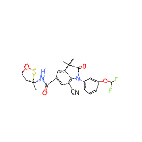 CC1(NC(=O)c2cc(C#N)c3c(c2)C(C)(C)C(=O)N3c2cccc(OC(F)F)c2)CCOS1